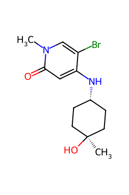 Cn1cc(Br)c(N[C@H]2CC[C@](C)(O)CC2)cc1=O